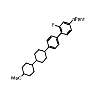 CCCCCc1ccc(-c2ccc(C3CCC(C4CCC(OC)CC4)CC3)cc2)c(F)c1